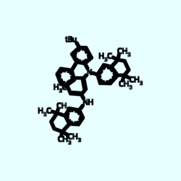 CC1C=C(Nc2ccc3c(c2)C(C)(C)CCC3(C)C)C=C(N(c2ccc3c(c2)C(C)(C)CCC3(C)C)c2ccc(C(C)(C)C)cc2-c2ccccc2)C1